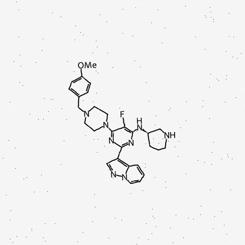 COc1ccc(CN2CCN(c3nc(-c4cnn5ccccc45)nc(N[C@@H]4CCCNC4)c3F)CC2)cc1